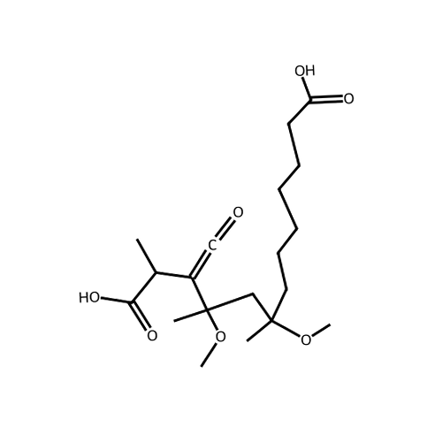 COC(C)(CCCCCCC(=O)O)CC(C)(OC)C(=C=O)C(C)C(=O)O